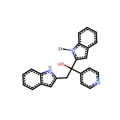 CCn1c(C(O)(Cc2cc3ccccc3[nH]2)c2ccncc2)cc2ccccc21